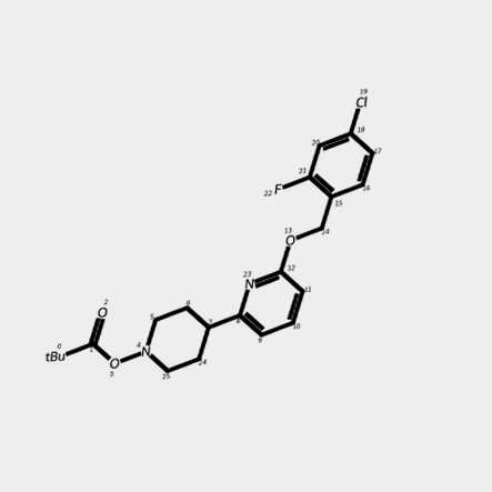 CC(C)(C)C(=O)ON1CCC(c2cccc(OCc3ccc(Cl)cc3F)n2)CC1